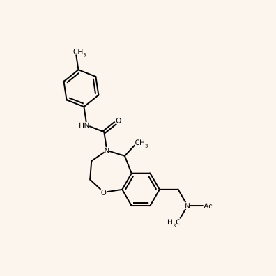 CC(=O)N(C)Cc1ccc2c(c1)C(C)N(C(=O)Nc1ccc(C)cc1)CCO2